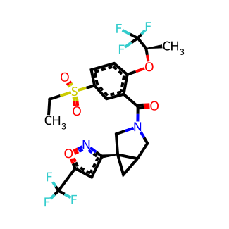 CCS(=O)(=O)c1ccc(O[C@H](C)C(F)(F)F)c(C(=O)N2CC3C[C@]3(c3cc(C(F)(F)F)on3)C2)c1